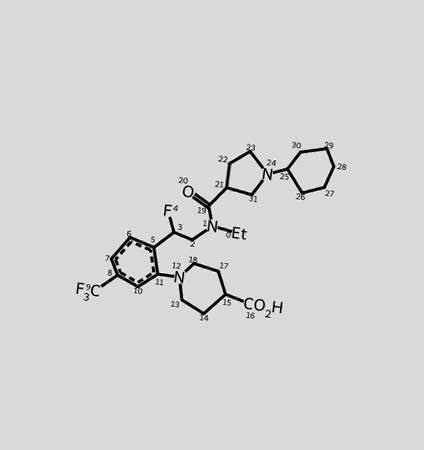 CCN(CC(F)c1ccc(C(F)(F)F)cc1N1CCC(C(=O)O)CC1)C(=O)C1CCN(C2CCCCC2)C1